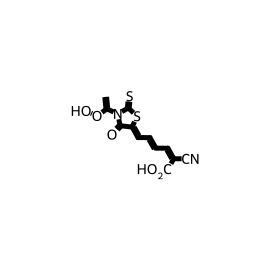 C=C(OO)N1C(=O)C(=CC=CC=C(C#N)C(=O)O)SC1=S